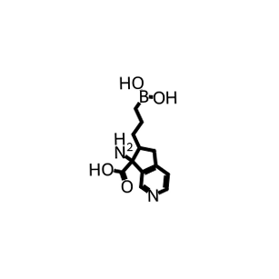 NC1(C(=O)O)c2cnccc2CC1CCCB(O)O